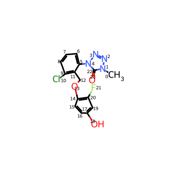 Cn1nnn(-c2cccc(Cl)c2COc2ccc(O)cc2F)c1=O